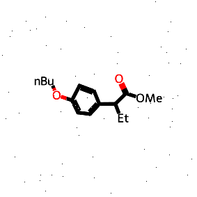 CCCCOc1ccc(C(CC)C(=O)OC)cc1